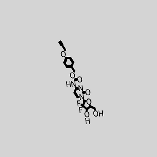 C#CCOc1ccc(COC(=O)Nc2ccn(C3OC(CO)C(O)C3(F)F)c(=O)n2)cc1